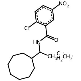 CC(NC(=O)c1cc([N+](=O)[O-])ccc1Cl)[C]1CCCCCCC1.[CH2].[CH2]